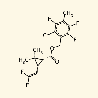 Cc1c(F)c(F)c(COC(=O)[C@@H]2[C@@H](C=C(F)F)C2(C)C)c(Cl)c1F